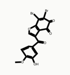 COc1ccc(C(=O)c2coc3c2C(=O)C(=O)C(Br)=C3Br)cc1O